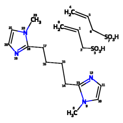 C=CCS(=O)(=O)O.C=CCS(=O)(=O)O.Cn1ccnc1CCCCc1nccn1C